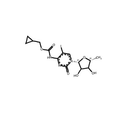 C[C@H]1O[C@@H](n2cc(I)c(NC(=O)OCC3CC3)nc2=O)C(O)C1O